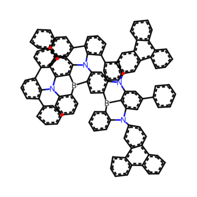 c1ccc(-c2cc3c4c(c2)N(c2ccc5c6ccccc6c6ccccc6c5c2)c2cc5c(cc2B4c2ccccc2N3c2ccc3c4ccccc4c4ccccc4c3c2)B2c3ccccc3N(c3c(-c4ccccc4)cccc3-c3ccccc3)c3cc(-c4ccccc4)cc(c32)N5c2c(-c3ccccc3)cccc2-c2ccccc2)cc1